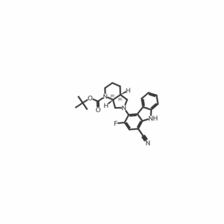 CC(C)(C)OC(=O)N1CCC[C@@H]2CN(c3c(F)cc(C#N)c4[nH]c5ccccc5c34)C[C@@H]21